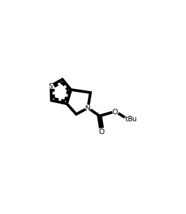 CC(C)(C)OC(=O)N1Cc2cscc2C1